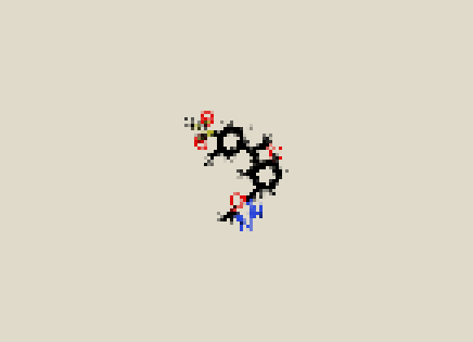 Cc1nnc(-c2ccc3occ(-c4ccc(S(C)(=O)=O)c(C)c4)c3c2)o1